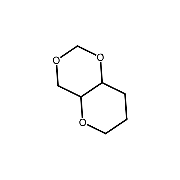 C1COC2COCOC2C1